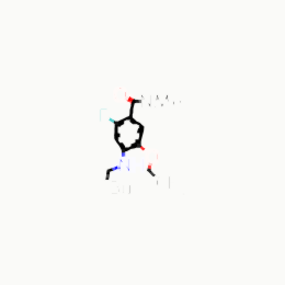 CNC(=O)c1cc(OCC(F)(F)F)c(NCC(C)(C)C)cc1F